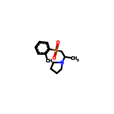 Cc1ccccc1S(=O)(=O)CC(C)N1CCCC1